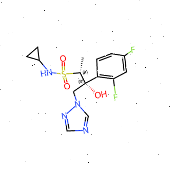 C[C@H]([C@](O)(Cn1cncn1)c1ccc(F)cc1F)S(=O)(=O)NC1CC1